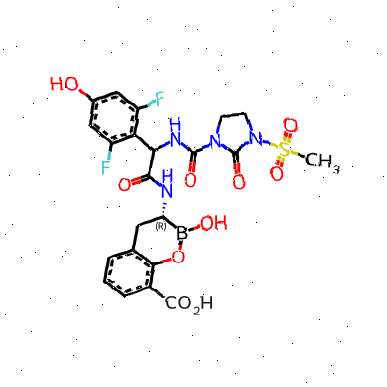 CS(=O)(=O)N1CCN(C(=O)NC(C(=O)N[C@H]2Cc3cccc(C(=O)O)c3OB2O)c2c(F)cc(O)cc2F)C1=O